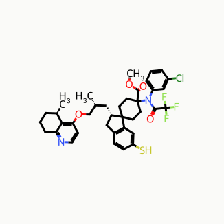 COC(=O)C1(N(C(=O)C(F)(F)F)c2cccc(Cl)c2)CCC2(CC1)c1cc(S)ccc1C[C@@H]2C[C@@H](C)COc1ccnc2c1[C@H](C)CCC2